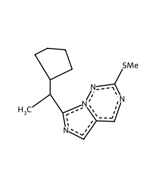 CSc1ncc2cnc(C(C)C3CCCC3)n2n1